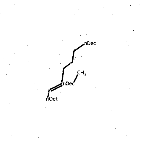 CCCCCCCCC=CCCCCCCCCCCCCC.CCCCCCCCCCC